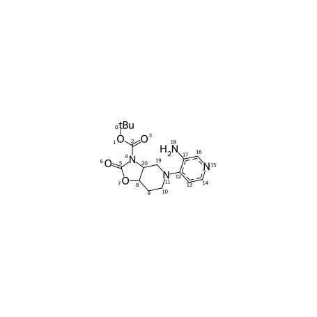 CC(C)(C)OC(=O)N1C(=O)OC2CCN(c3ccncc3N)CC21